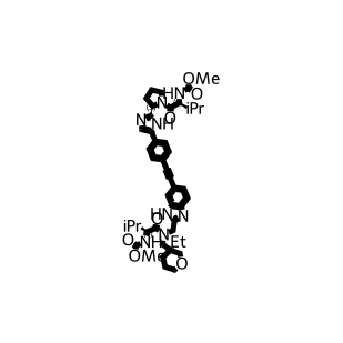 CC[C@@]1(CN(Cc2nc3ccc(C#Cc4ccc(-c5cnc([C@@H]6CCCN6C(=O)[C@@H](NC(=O)OC)C(C)C)[nH]5)cc4)cc3[nH]2)C(=O)[C@@H](NC(=O)OC)C(C)C)CCCOC1